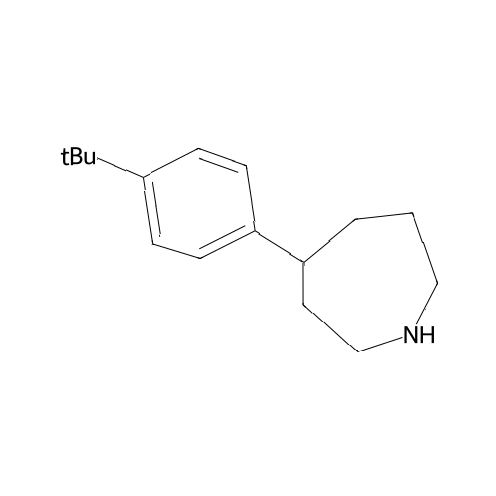 CC(C)(C)c1ccc(C2CCCNCC2)cc1